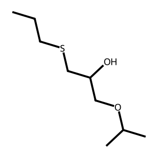 CCCSCC(O)COC(C)C